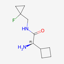 N[C@@H](C(=O)NCC1(F)CC1)C1CCC1